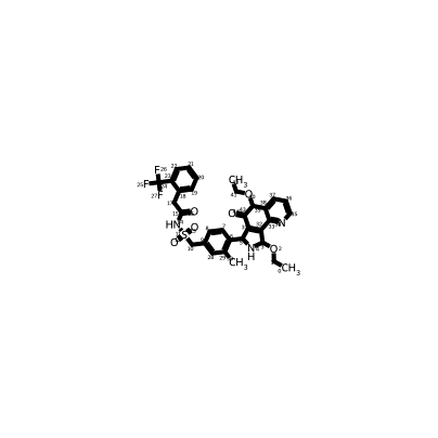 CCOC1NC(c2ccc(CS(=O)(=O)NC(=O)Cc3ccccc3C(F)(F)F)cc2C)C2=C1c1ncccc1C(OCC)C2=O